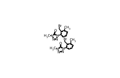 Cc1cccc(-n2nnn(C)c2=O)c1CBr.Cc1cccc(-n2nnn(C)c2=O)c1CBr